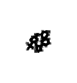 FC(F)(F)c1cnc(N[C@H]2CCCNC2)nc1-c1c[nH]cc1-c1ccccc1